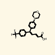 O=C(O)/C=C/C=C(\c1ccc(N2CCOCC2)cc1)c1ccc(C(F)(F)F)cc1